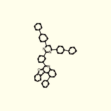 c1ccc(-c2ccc(-c3cc(-c4ccc(-c5ccccc5)cc4)nc(-c4cccc(-c5nc6cccc(-c7ccccc7)c6c6c5oc5ccccc56)c4)n3)cc2)cc1